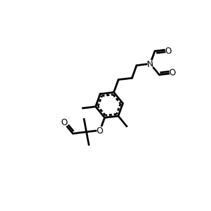 Cc1cc(CCCN(C=O)C=O)cc(C)c1OC(C)(C)C=O